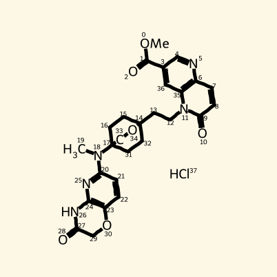 COC(=O)c1cnc2ccc(=O)n(CCC34CCC(N(C)c5ccc6c(n5)NC(=O)CO6)(CC3)CO4)c2c1.Cl